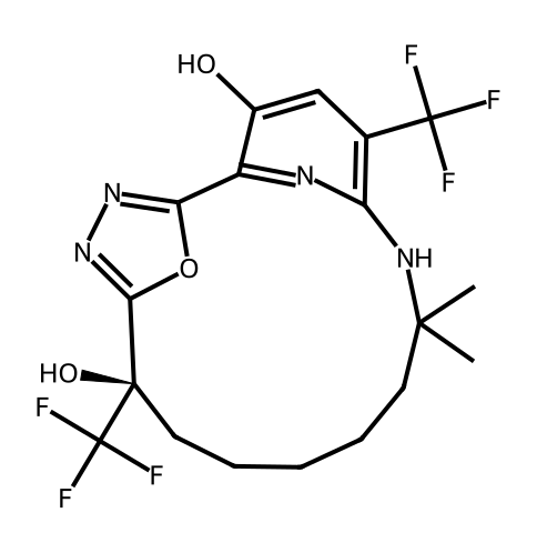 CC1(C)CCCCC[C@](O)(C(F)(F)F)c2nnc(o2)-c2nc(c(C(F)(F)F)cc2O)N1